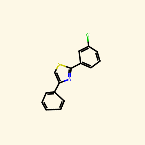 Clc1cccc(-c2nc(-c3ccccc3)cs2)c1